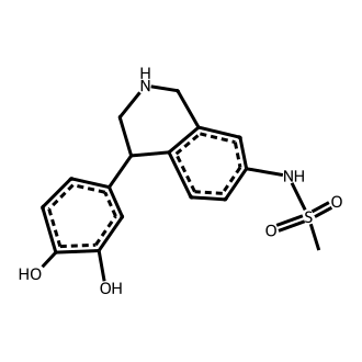 CS(=O)(=O)Nc1ccc2c(c1)CNCC2c1ccc(O)c(O)c1